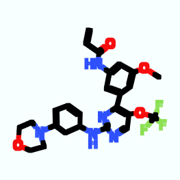 C=CC(=O)Nc1cc(OC)cc(-c2nc(NC3C=CC=C(N4CCOCC4)C3)ncc2OC(F)(F)F)c1